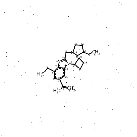 C=C(C)c1cc(CC)c2nc(CN3CCC(CC)C3)n(C3CCC3)c2c1